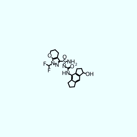 NS(=O)(=NC(=O)Nc1c2c(cc3c1CCC3O)CCC2)c1nn(C(F)F)c2c1CCCO2